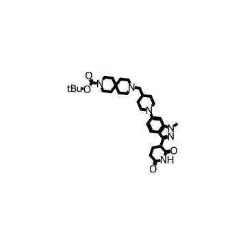 Cn1nc(C2CCC(=O)NC2=O)c2ccc(N3CCC(CN4CCC5(CC4)CCN(C(=O)OC(C)(C)C)CC5)CC3)cc21